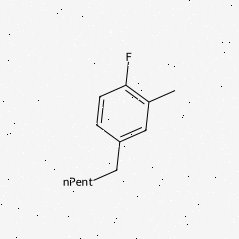 CCCCCCc1ccc(F)c(C)c1